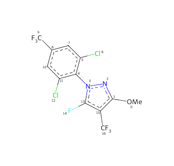 COc1nn(-c2c(Cl)cc(C(F)(F)F)cc2Cl)c(F)c1C(F)(F)F